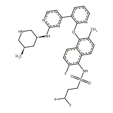 Cc1ccc2c(NS(=O)(=O)CCC(F)F)c(F)ccc2c1Oc1ncccc1-c1ccnc(N[C@@H]2CNC[C@H](C)C2)n1